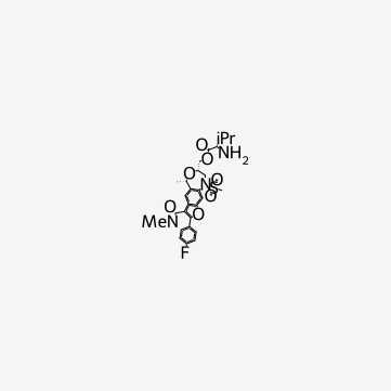 CNC(=O)c1c(-c2ccc(F)cc2)oc2cc3c(cc12)[C@H](C)O[C@H](COC(=O)[C@@H](N)C(C)C)CN3S(C)(=O)=O